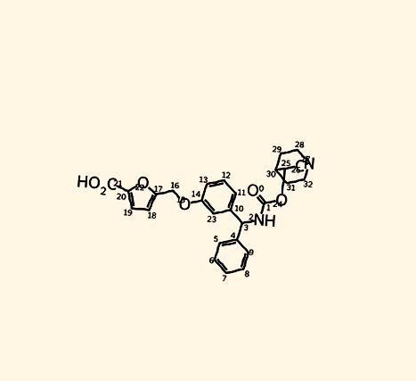 O=C(NC(c1ccccc1)c1cccc(OCc2ccc(C(=O)O)o2)c1)OC1CN2CCC1CC2